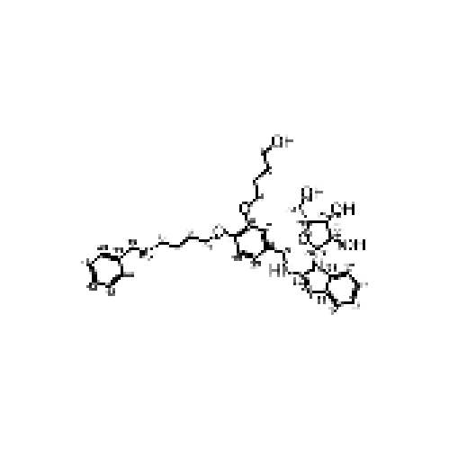 OCCCCOc1cc(CNc2nc3ccccc3n2[C@@H]2O[C@H](CO)[C@@H](O)[C@H]2O)ccc1OCCCCOCc1ccccc1